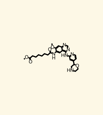 COC(=O)CCCCCCC(=O)Nc1cc2c(Nc3cc(C4CNCCO4)ccn3)ncnc2cc1OC